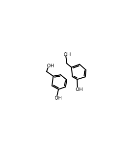 OCc1cccc(O)c1.OCc1cccc(O)c1